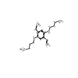 C=Cc1cc(OCCCC)c(C=C)cc1OCCCC